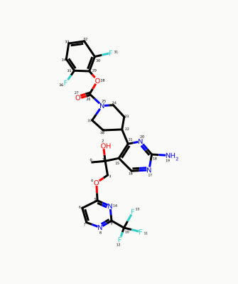 CC(O)(COc1ccnc(C(F)(F)F)n1)c1cnc(N)nc1C1CCN(C(=O)Oc2c(F)cccc2F)CC1